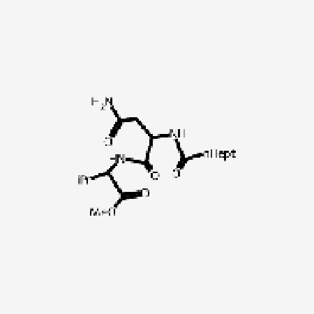 CCCCCCCC(=O)NC(CC(N)=O)C(=O)NC(C(=O)OC)C(C)C